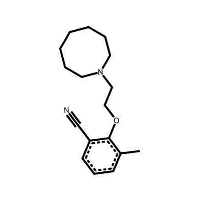 Cc1cccc(C#N)c1OCCN1CCCCCCC1